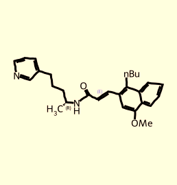 CCCCc1c(/C=C/C(=O)N[C@H](C)CCCc2cccnc2)cc(OC)c2ccccc12